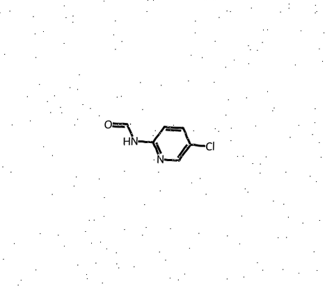 O=[C]Nc1ccc(Cl)cn1